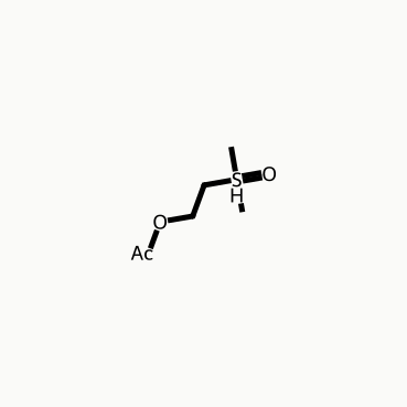 CC(=O)OCC[SH](C)(C)=O